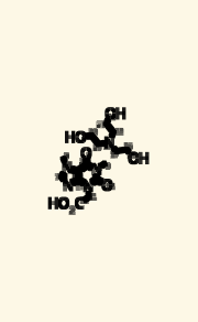 Cn1c(=O)c2c(ncn2C)n(CC(=O)O)c1=O.OCCN(CCO)CCO